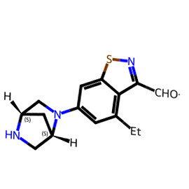 CCc1cc(N2C[C@@H]3C[C@H]2CN3)cc2snc([C]=O)c12